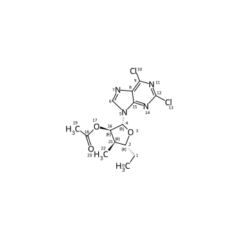 CC[C@H]1O[C@@H](n2cnc3c(Cl)nc(Cl)nc32)[C@H](OC(C)=O)[C@@H]1C